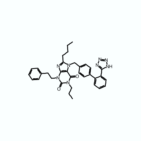 CCCCc1nc2c(c(=O)n(CCC)c(=O)n2CCc2ccccc2)n1Cc1ccc(-c2ccccc2-c2nnn[nH]2)cc1